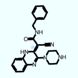 N#C/C(C(=O)NCc1ccccc1)=C1/Nc2ccccc2N=C1N1CCNCC1